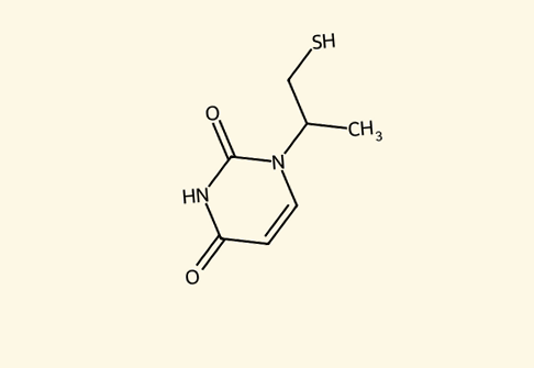 CC(CS)n1ccc(=O)[nH]c1=O